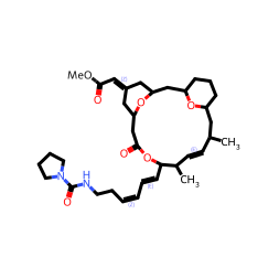 COC(=O)/C=C1\CC2CC(=O)OC(/C=C/C=C\CCNC(=O)N3CCCC3)C(C)/C=C/C(C)CC3CCCC(CC(C1)O2)O3